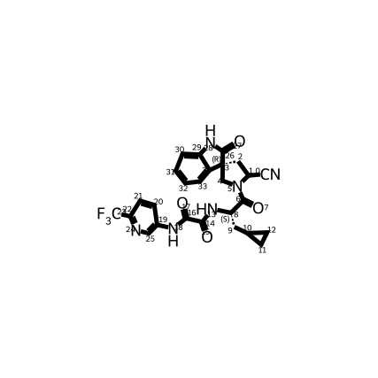 N#CC1C[C@@]2(CN1C(=O)[C@H](CC1CC1)NC(=O)C(=O)Nc1ccc(C(F)(F)F)nc1)C(=O)Nc1ccccc12